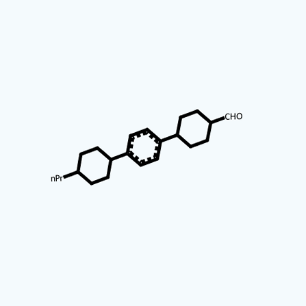 CCCC1CCC(c2ccc(C3CCC(C=O)CC3)cc2)CC1